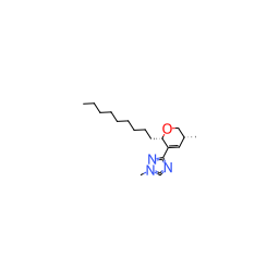 CCCCCCCCC[C@@H]1OC[C@H](C)C=C1c1ncn(C)n1